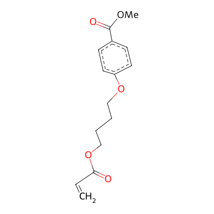 C=CC(=O)OCCCCOc1ccc(C(=O)OC)cc1